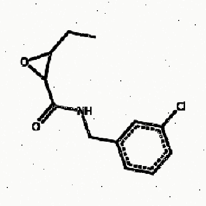 CCC1OC1C(=O)NCc1cccc(Cl)c1